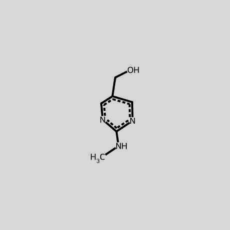 CNc1ncc(CO)cn1